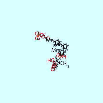 CCC(CO)(CO)CO.[C]=O.[C]=O.[C]=O.[C]=O.[C]=O.[C]=O.[Mn+][C]1=CC=CC1.[Mn+][C]1=CC=CC1.[Mn+][C]1=CC=CC1.[O-]P([O-])[O-]